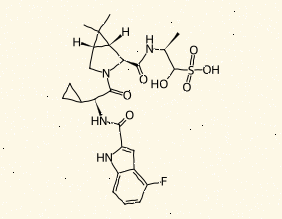 C[C@H](NC(=O)[C@@H]1[C@@H]2[C@H](CN1C(=O)[C@@H](NC(=O)c1cc3c(F)cccc3[nH]1)C1CC1)C2(C)C)C(O)S(=O)(=O)O